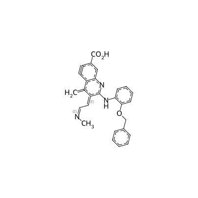 C=c1/c(=C\C=N/C)c(Nc2ccccc2OCc2ccccc2)nc2cc(C(=O)O)c#cc12